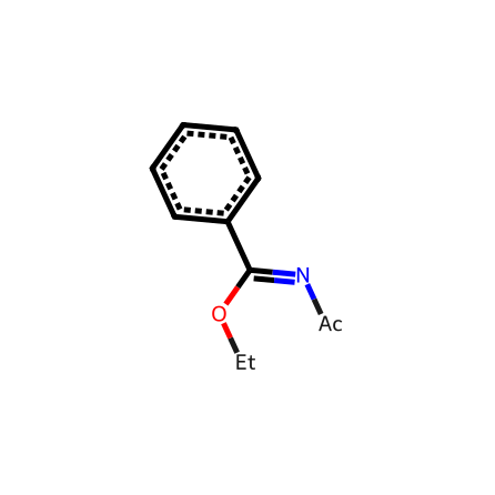 CCO/C(=N\C(C)=O)c1ccccc1